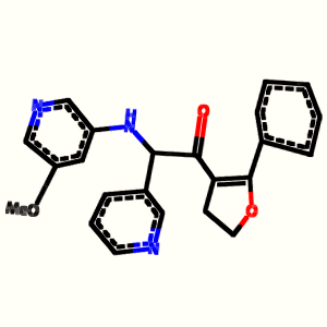 COc1cncc(NC(C(=O)C2=C(c3ccccc3)OCC2)c2cccnc2)c1